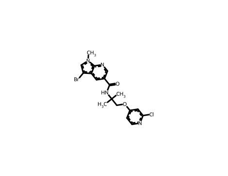 Cn1cc(Br)c2cc(C(=O)NC(C)(C)COc3ccnc(Cl)c3)cnc21